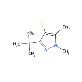 CCCCC(C)(C)c1nn(C)c(C)c1F